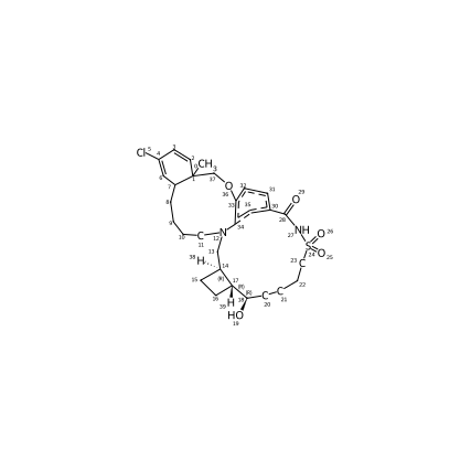 CC12C=CC(Cl)=CC1CCCCN1C[C@@H]3CC[C@H]3[C@H](O)CCCCS(=O)(=O)NC(=O)c3ccc(c1c3)OC2